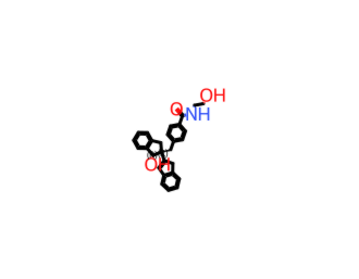 O=C(NCCO)c1ccc(C[C@]2(C3=Cc4ccccc4C3)Cc3ccccc3[C@@H]2O)cc1